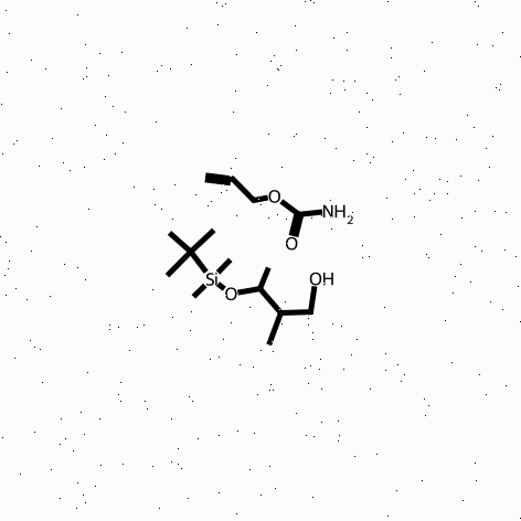 C=CCOC(N)=O.CC(CO)C(C)O[Si](C)(C)C(C)(C)C